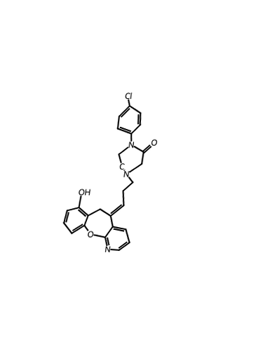 O=C1CN(CCC=C2Cc3c(O)cccc3Oc3ncccc32)CCN1c1ccc(Cl)cc1